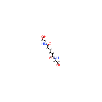 O=C(CCCCC(=O)NCCO)NCCO